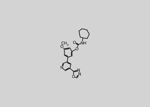 COc1cc(OC(=O)NC2CCCCCC2)cc(-c2cncc(-c3nnco3)c2)c1